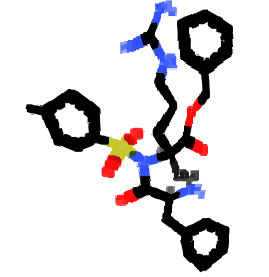 Cc1ccc(S(=O)(=O)N(C(=O)[C@@H](N)Cc2ccccc2)[C@@](CCCNC(=N)N)(C(=O)O)C(=O)OCc2ccccc2)cc1